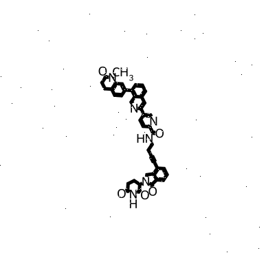 CN1C(=O)CCc2ccc(-c3cccc4cc(-c5ccc(C(=O)NCCC#Cc6cccc7c6CN(C6CCC(=O)NC6=O)C7=O)nc5)ncc34)cc21